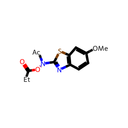 CCC(=O)ON(C(C)=O)c1nc2ccc(OC)cc2s1